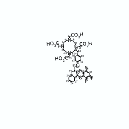 O=C(O)CN1CCN(CC(=O)O)CCN(CC(=O)O)C(Cc2ccc(OCCCc3ccccc3C(=O)Oc3c(F)c(F)cc(F)c3F)cc2)CN(CC(=O)O)CC1